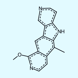 COc1nccc2c(C)c3[nH]c4ccncc4c3cc12